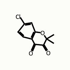 CC1(C)Oc2cc(Cl)ccc2C(=O)C1=O